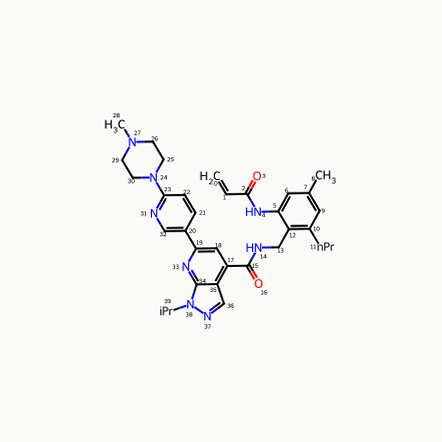 C=CC(=O)Nc1cc(C)cc(CCC)c1CNC(=O)c1cc(-c2ccc(N3CCN(C)CC3)nc2)nc2c1cnn2C(C)C